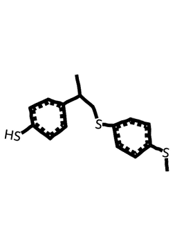 CSc1ccc(SCC(C)c2ccc(S)cc2)cc1